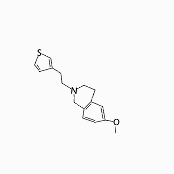 COc1ccc2c(c1)CCN(CCc1ccsc1)C2